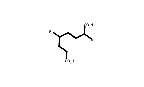 CCC(CCC(=O)O)CCC(CC)C(=O)O